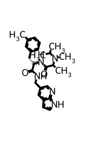 Cc1cccc(C[C@H](NC(=O)C(C)N(C)C(C)C)C(=O)NCc2cnc3[nH]ccc3c2)c1